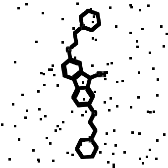 OC1c2cc(OCCN3CCCCC3)ccc2-c2ccc(OCCN3CCCCC3)cc21